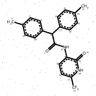 Cc1ccc(C(C(=O)Nc2ccc(C(F)(F)F)[nH]c2=O)c2ccc(C)cc2)cc1